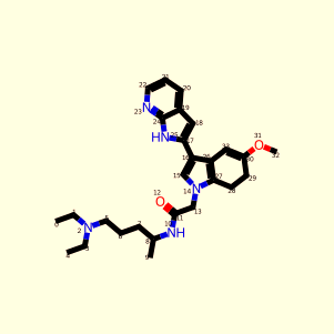 CCN(CC)CCCC(C)NC(=O)Cn1cc(-c2cc3cccnc3[nH]2)c2c1CCC(OC)=C2